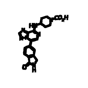 O=C1NCc2cc(-c3cnc(NC4CCN(C(=O)O)CC4)c4ncnn34)ccc21